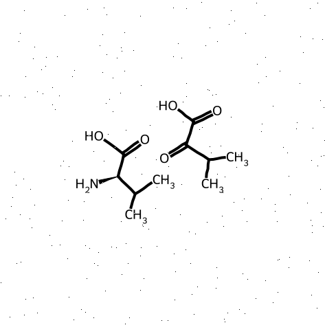 CC(C)C(=O)C(=O)O.CC(C)[C@@H](N)C(=O)O